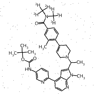 [2H]C([2H])([2H])N(C(=O)c1ccc(C2=CCN(C(C)c3cc4c(-c5ccc(NC(=O)OC(C)(C)C)cn5)ccnc4n3C)CC2)c(C)c1)C([2H])([2H])[2H]